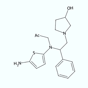 CC(=O)CN(c1ccc(N)s1)C(CN1CCC(O)C1)c1ccccc1